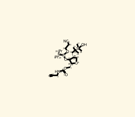 C#CCNC(=O)OC[C@H]1OC[C@@H](CC(C)(C)[Si](C)(C)O)C1OP(OCCC#N)N(C(C)C)C(C)C